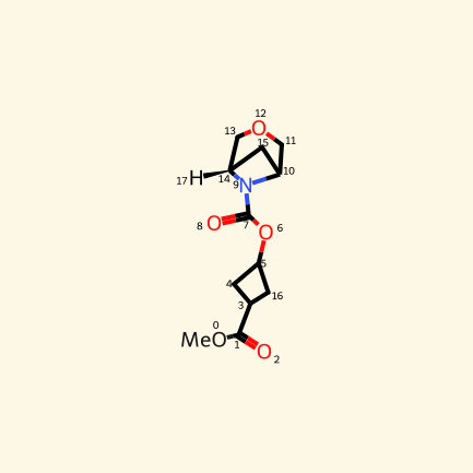 COC(=O)C1CC(OC(=O)N2C3COC[C@@H]2C3)C1